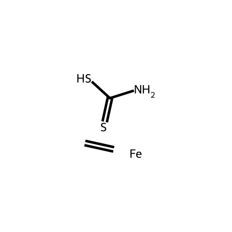 C=C.NC(=S)S.[Fe]